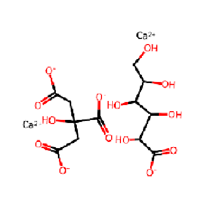 O=C([O-])C(O)C(O)C(O)C(O)CO.O=C([O-])CC(O)(CC(=O)[O-])C(=O)[O-].[Ca+2].[Ca+2]